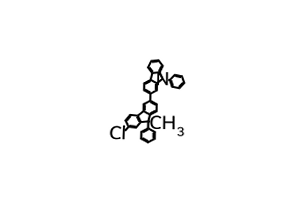 CC1(c2ccccc2)c2ccc(-c3ccc4c5ccccc5n(-c5ccccc5)c4c3)cc2-c2ccc(Cl)cc21